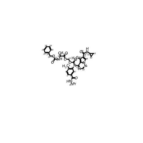 CCCNC(=O)c1ccc(C)c(N(C(=O)OCOC(=O)C(C)NC(=O)OCc2ccccc2)c2ncnn3cc(C(=O)NC4CC4)c(C)c23)c1